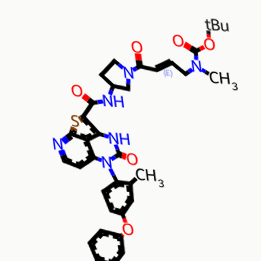 Cc1cc(Oc2ccccc2)ccc1N1C(=O)Nc2c(C(=O)NC3CCN(C(=O)/C=C/CN(C)C(=O)OC(C)(C)C)C3)sc3nccc1c23